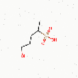 CC(CCCO)S(=O)(=O)O